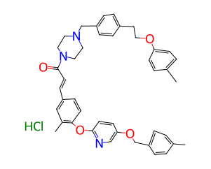 Cc1ccc(COc2ccc(Oc3ccc(C=CC(=O)N4CCN(Cc5ccc(CCOc6ccc(C)cc6)cc5)CC4)cc3C)nc2)cc1.Cl